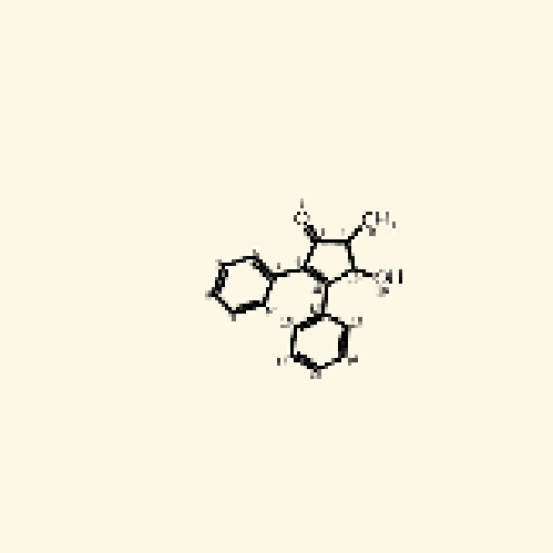 CC1C(=O)C(c2ccccc2)=C(c2ccccc2)C1O